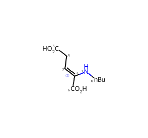 CCCCN/C(=C\CC(=O)O)C(=O)O